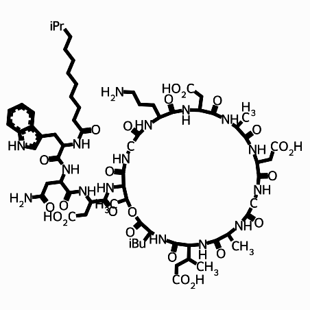 CCC(C)C1NC(=O)C(C(C)CC(=O)O)NC(=O)C(C)NC(=O)CNC(=O)C(CC(=O)O)NC(=O)C(C)NC(=O)C(CC(=O)O)NC(=O)C(CCCN)NC(=O)CNC(=O)C(NC(=O)C(CC(=O)O)NC(=O)C(CC(N)=O)NC(=O)C(Cc2c[nH]c3ccccc23)NC(=O)CCCCCCCCC(C)C)C(C)OC1=O